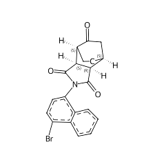 O=C1C[C@@H]2CC[C@H]1[C@@H]1C(=O)N(c3ccc(Br)c4ccccc34)C(=O)[C@H]21